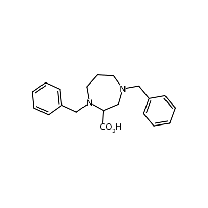 O=C(O)C1CN(Cc2ccccc2)CCCN1Cc1ccccc1